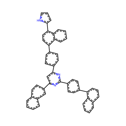 c1c[nH]c(-c2ccc(-c3ccc(-c4cc(-c5ccc6ccccc6c5)nc(-c5ccc(-c6cccc7ccccc67)cc5)n4)cc3)c3ccccc23)c1